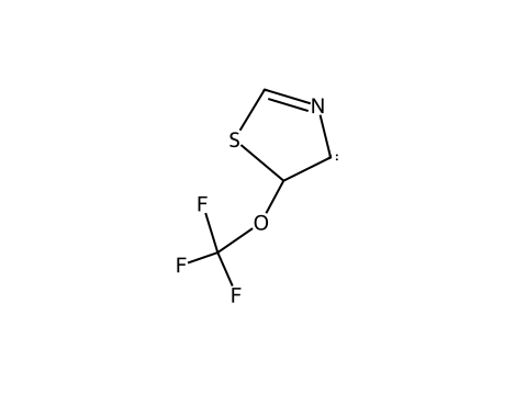 FC(F)(F)OC1[C]N=CS1